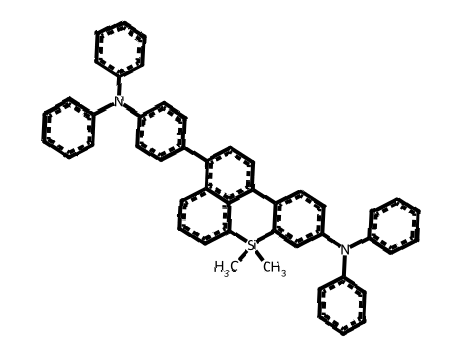 C[Si]1(C)c2cc(N(c3ccccc3)c3ccccc3)ccc2-c2ccc(-c3ccc(N(c4ccccc4)c4ccccc4)cc3)c3cccc1c23